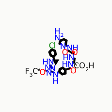 Nc1ccc(NC(=O)C(=O)NC[C@H](NC(=O)c2ccc(Nc3nc(NC4(c5ccc(Cl)cc5)CC4)nc(OCC(F)(F)F)n3)cc2)C(=O)O)nc1